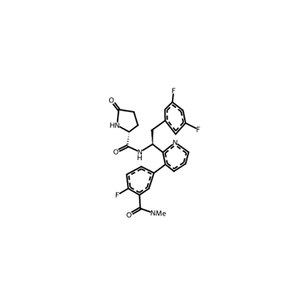 CNC(=O)c1cc(-c2cccnc2[C@H](Cc2cc(F)cc(F)c2)NC(=O)[C@H]2CCC(=O)N2)ccc1F